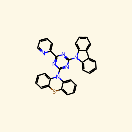 c1ccc(-c2nc(N3c4ccccc4Sc4ccccc43)nc(-n3c4ccccc4c4ccccc43)n2)nc1